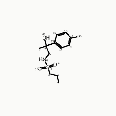 CCCS(=O)(=O)NCC(C)(O)c1ccc(I)cc1